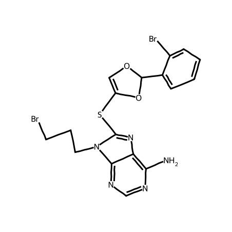 Nc1ncnc2c1nc(SC1=COC(c3ccccc3Br)O1)n2CCCBr